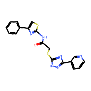 O=C(CSc1nc(-c2cccnc2)n[nH]1)Nc1nc(-c2ccccc2)cs1